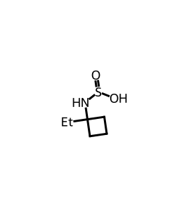 CCC1(NS(=O)O)CCC1